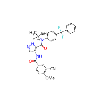 COc1ccc(C(=O)Nc2cnn3c2C(=O)N(c2ccc(C(F)(F)c4ccccc4)cc2)[C@@](C)([SiH3])C3)cc1C#N